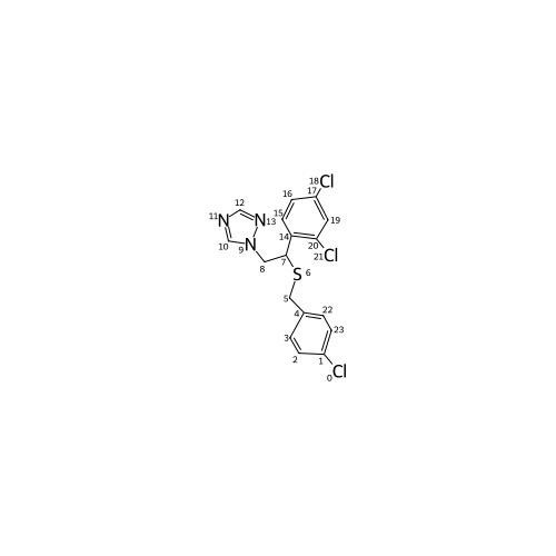 Clc1ccc(CSC(Cn2cncn2)c2ccc(Cl)cc2Cl)cc1